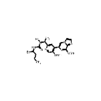 CCC(CCC(F)(F)F)NC(=O)N(CC)C(c1cc(-c2cn3ccnc3c(OC)n2)c(OC)cn1)C(F)(F)F